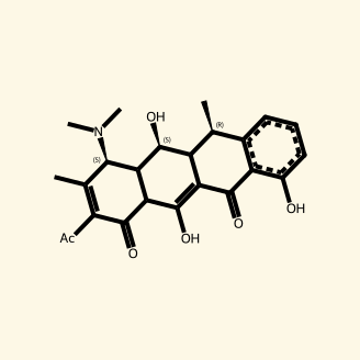 CC(=O)C1=C(C)[C@@H](N(C)C)C2C(C1=O)C(O)=C1C(=O)c3c(O)cccc3[C@H](C)C1[C@@H]2O